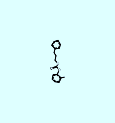 Cc1ccccc1OC(=O)OCCCc1ccccc1